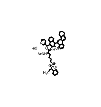 C=CC(c1ccccc1F)S(=O)(=O)NCCCCC(NC(C)=O)C(=O)Nc1c(O)c(-c2cc3c4c(ccc3c3ccccc23)CCCC4)c2ccccc2c1Cc1cccnc1.Cl.Cl